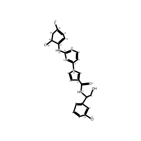 O=C(NC(CO)c1cccc(Cl)c1)c1ccn(-c2ccnc(NC3=CC=C(F)CC3Cl)n2)c1